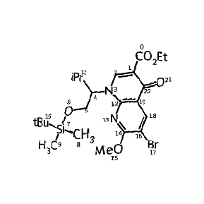 CCOC(=O)c1cn(C(CO[Si](C)(C)C(C)(C)C)C(C)C)c2nc(OC)c(Br)cc2c1=O